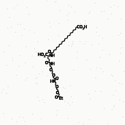 CCC(=O)COCCOCCNC(=O)COCCOCCNC(=O)CC[C@H](NC(=O)CCCCCCCCCCCCCCCCCCC(=O)O)C(=O)O